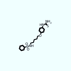 NC(=S)Nc1ccc(OCCCCCNS(=O)(=O)c2ccccc2)cc1